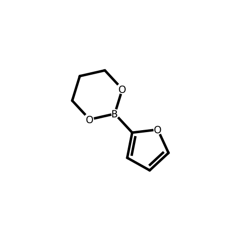 c1coc(B2OCCCO2)c1